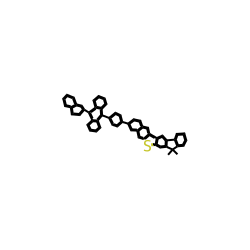 CC1(C)c2ccccc2-c2cc3c(cc21)sc1cc2cc(-c4ccc(-c5c6ccccc6c(-c6ccc7ccccc7c6)c6ccccc56)cc4)ccc2cc13